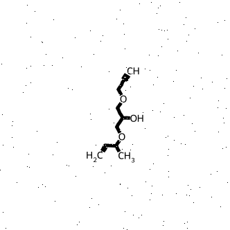 C#CCOCC(O)COC(C)C=C